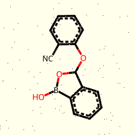 N#Cc1ccccc1OC1OB(O)c2ccccc21